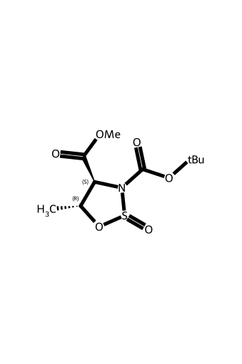 COC(=O)[C@@H]1[C@@H](C)OS(=O)N1C(=O)OC(C)(C)C